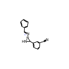 N#Cc1cccc(C2NN2/N=C/c2ccccc2)c1